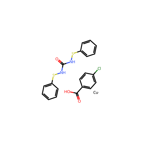 O=C(NSc1ccccc1)NSc1ccccc1.O=C(O)c1ccc(Cl)cc1.[Cu]